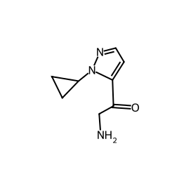 NCC(=O)c1ccnn1C1CC1